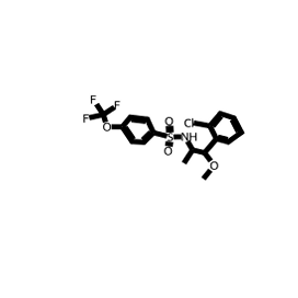 COC(c1ccccc1Cl)C(C)NS(=O)(=O)c1ccc(OC(F)(F)F)cc1